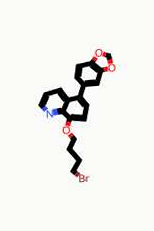 BrCCCCOc1ccc(-c2ccc3c(c2)OCO3)c2cccnc12